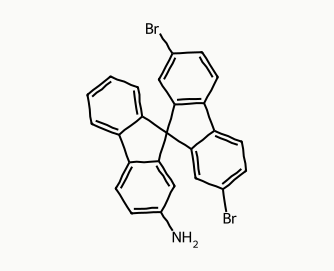 Nc1ccc2c(c1)C1(c3ccccc3-2)c2cc(Br)ccc2-c2ccc(Br)cc21